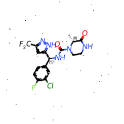 C[C@@H]1C(=O)NCCN1C(=O)N[C@@H](c1ccc(F)c(Cl)c1)c1cc(C(F)(F)F)n[nH]1